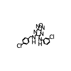 Clc1ccc(CNc2nc3nonc3nc2Nc2cccc(Cl)c2)cc1